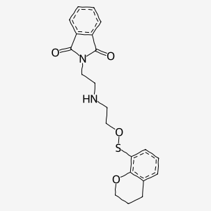 O=C1c2ccccc2C(=O)N1CCNCCOSc1cccc2c1OCCC2